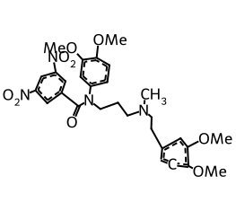 COc1ccc(CCN(C)CCCN(C(=O)c2cc([N+](=O)[O-])cc([N+](=O)[O-])c2)c2ccc(OC)c(OC)c2)cc1OC